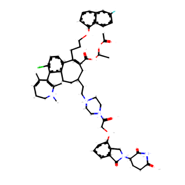 CC(=O)OC(C)OC(=O)/C1=C(\CCCOc2cccc3cc(F)ccc23)c2ccc(Cl)c(C3=C(C)N(C)CCC=C3C)c2CCC(CCN2CCN(C(=O)COc3cccc4c3CN(C3CCC(=O)NC3=O)C4=O)CC2)C1